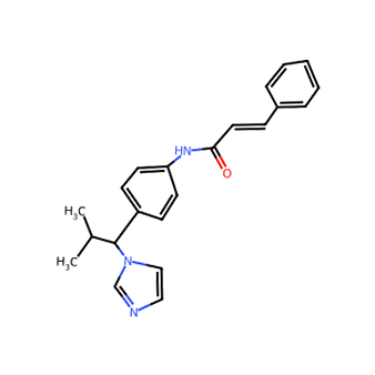 CC(C)C(c1ccc(NC(=O)C=Cc2ccccc2)cc1)n1ccnc1